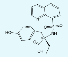 CC[C@@](Cc1ccc(O)cc1)(NS(=O)(=O)c1cccc2cccnc12)C(=O)O